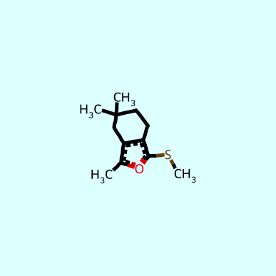 CSc1oc(C)c2c1CCC(C)(C)C2